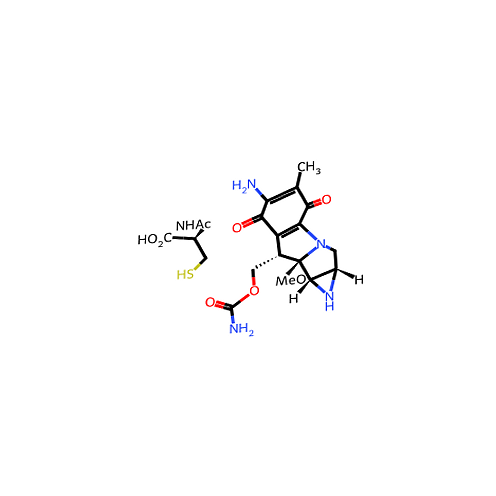 CC(=O)N[C@@H](CS)C(=O)O.CO[C@@]12[C@H](COC(N)=O)C3=C(C(=O)C(C)=C(N)C3=O)N1C[C@@H]1N[C@@H]12